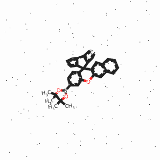 CC1(C)OB(c2ccc3c(c2)Oc2cc4ccccc4cc2C32c3ccccc3-c3ccccc32)OC1(C)C